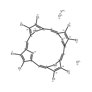 CCC1=C(CC)c2cc3[nH]c(cc4nc(cc5[nH]c(cc1n2)c(CC)c5CC)C(CC)=C4CC)c(CC)c3CC.[O-2].[O-2].[V+4]